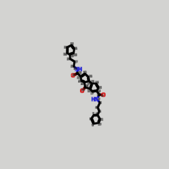 O=C(NCCCc1ccccc1)c1ccc2c(c1)C(=O)c1cc(C(=O)NCCCc3ccccc3)ccc1-2